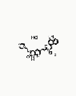 Cc1ccc(CN(C)C(=O)C=Cc2cnc3c(c2)CN(CCN2CCOCC2)C(=O)N3)c2ccccc12.Cl